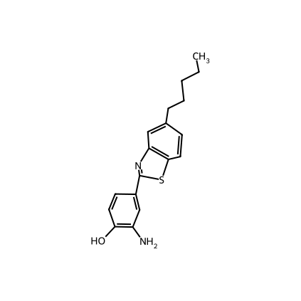 CCCCCc1ccc2sc(-c3ccc(O)c(N)c3)nc2c1